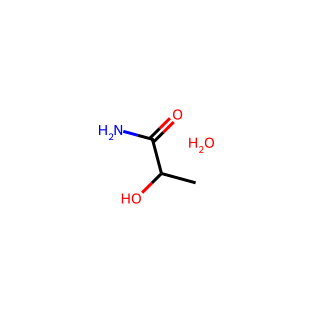 CC(O)C(N)=O.O